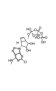 CNc1nc(Cl)nc2c1ncn2[C@H]1[C@H](O)[C@H](O)[C@]2(COP(=O)(O)OP(=O)(O)OP(=O)(O)O)C=C[C@H]12